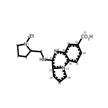 CCN1CCCC1CNc1nc2cc(C(=O)O)ccc2n2cccc12